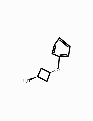 N[C@H]1C[C@H](Oc2ccccc2)C1